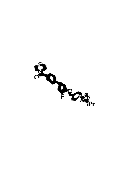 CC(C)c1noc(N2CCC(COc3ccc(C4=CCC(C(=O)N5CCSCC5)CC4)cc3F)CC2)n1